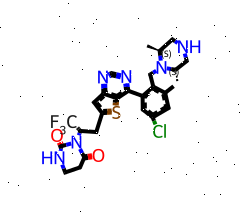 Cc1cc(Cl)cc(-c2ncnc3cc(CC(N4C(=O)CCNC4=O)C(F)(F)F)sc23)c1CN1[C@@H](C)CNC[C@@H]1C